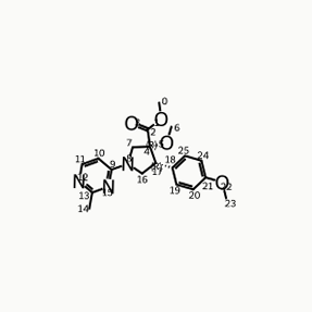 COC(=O)[C@]1(OC)CN(c2ccnc(C)n2)C[C@H]1c1ccc(OC)cc1